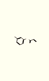 C=CC(=O)Oc1cccc(Cl)c1